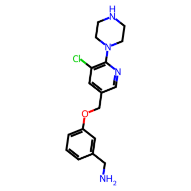 NCc1cccc(OCc2cnc(N3CCNCC3)c(Cl)c2)c1